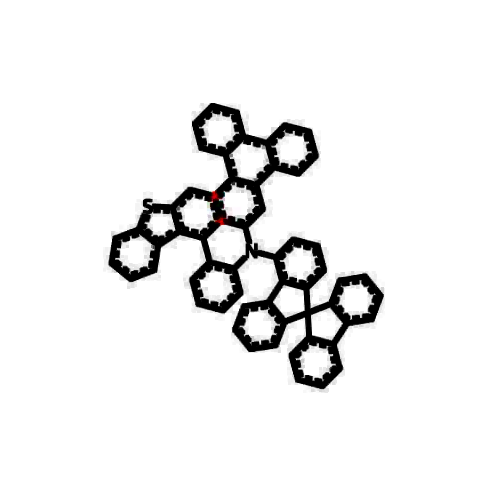 c1ccc(N(c2ccc3c4ccccc4c4ccccc4c3c2)c2cccc3c2-c2ccccc2C32c3ccccc3-c3ccccc32)c(-c2cccc3sc4ccccc4c23)c1